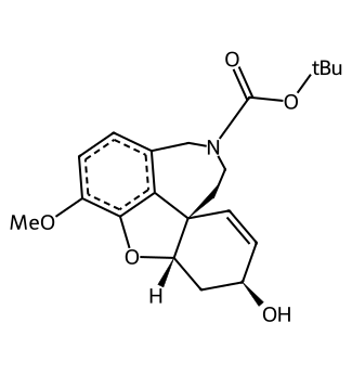 COc1ccc2c3c1O[C@H]1C[C@H](O)C=C[C@@]31CCN(C(=O)OC(C)(C)C)C2